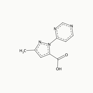 Cc1cc(C(=O)O)n(-c2ccncn2)n1